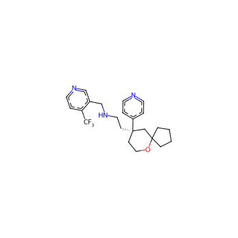 FC(F)(F)c1ccncc1CNCC[C@@]1(c2ccncc2)CCOC2(CCCC2)C1